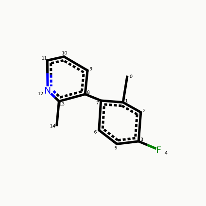 Cc1cc(F)ccc1-c1cccnc1C